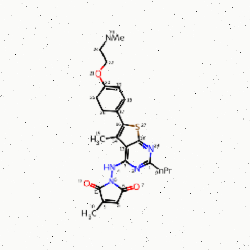 CCCc1nc(NN2C(=O)C=C(C)C2=O)c2c(C)c(C3=CC=C(OCCNC)CC3)sc2n1